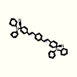 N#CC1(N(c2ccccc2)c2ccccc2)C=CC(/C=C/c2ccc(/C=C/C3C=CC(C#N)(N(c4ccccc4)c4ccccc4)C=C3)cc2)C=C1